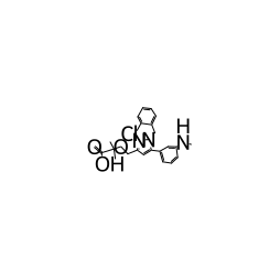 CNc1cccc(-c2cc(COC(C)(C)C(=O)O)nn2Cc2ccccc2Cl)c1